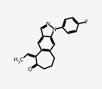 CC=C1C(=O)CCCc2cc3c(cnn3-c3ccc(F)cc3)cc21